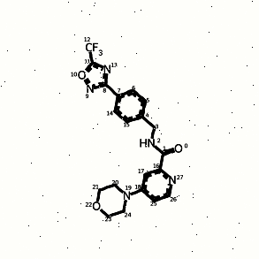 O=C(NCc1ccc(-c2noc(C(F)(F)F)n2)cc1)c1cc(N2CCOCC2)ccn1